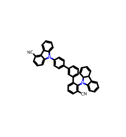 N#Cc1cccc(-c2cccc(-c3ccc(-n4c5ccccc5c5c(C#N)cccc54)cc3)c2)c1N1c2ccccc2C2C=CC=CC21